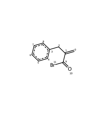 C=C(Cc1ccccc1)C(=O)Br